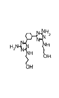 Nc1nc(NCCCO)nc(C2CCCC(c3nc(N)nc(NCCCO)n3)C2)n1